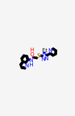 CCn1c(SCC(O)Nc2cccc3cccnc23)nnc1-c1ccccn1